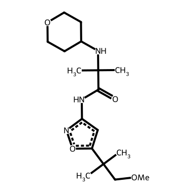 COCC(C)(C)c1cc(NC(=O)C(C)(C)NC2CCOCC2)no1